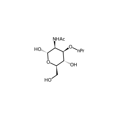 CCCO[C@H]1[C@H](O)[C@@H](CO)O[C@H](O)[C@H]1NC(C)=O